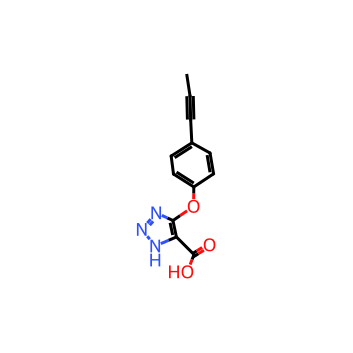 CC#Cc1ccc(Oc2nn[nH]c2C(=O)O)cc1